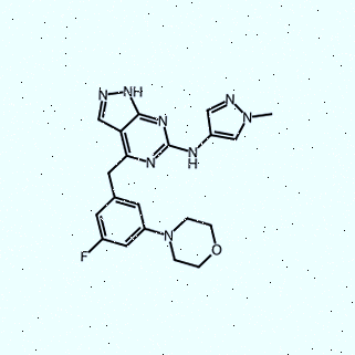 Cn1cc(Nc2nc(Cc3cc(F)cc(N4CCOCC4)c3)c3cn[nH]c3n2)cn1